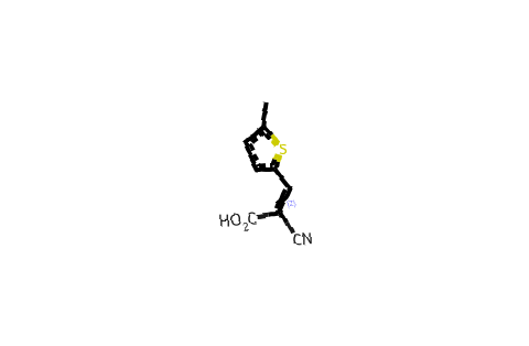 Cc1ccc(/C=C(/C#N)C(=O)O)s1